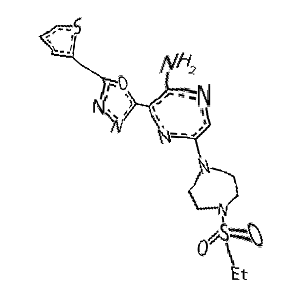 CCS(=O)(=O)N1CCN(c2cnc(N)c(-c3nnc(-c4cccs4)o3)n2)CC1